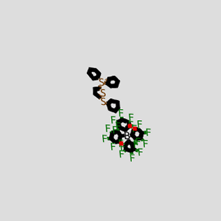 Fc1c(F)c(F)c([B-](c2c(F)c(F)c(F)c(F)c2F)(c2c(F)c(F)c(F)c(F)c2F)c2c(F)c(F)c(F)c(F)c2F)c(F)c1F.c1ccc(Sc2ccc([S+](c3ccccc3)c3ccccc3)s2)cc1